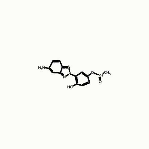 C[PH](=O)Oc1ccc(O)c(-n2nc3ccc(N)cc3n2)c1